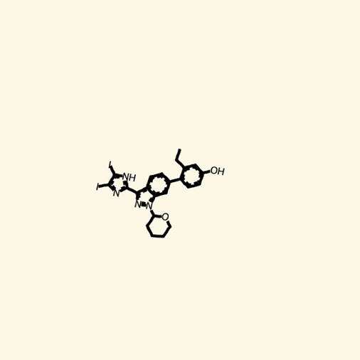 CCc1cc(O)ccc1-c1ccc2c(-c3nc(I)c(I)[nH]3)nn(C3CCCCO3)c2c1